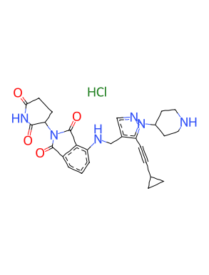 Cl.O=C1CCC(N2C(=O)c3cccc(NCc4cnn(C5CCNCC5)c4C#CC4CC4)c3C2=O)C(=O)N1